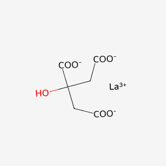 O=C([O-])CC(O)(CC(=O)[O-])C(=O)[O-].[La+3]